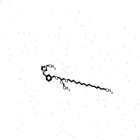 CCCCCCCCCCCCCCCCOCC(COCc1cccc(CN2C=CN(CC)C2)c1)OCC